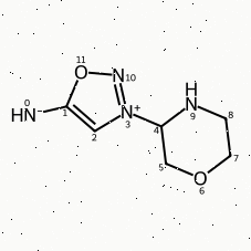 [NH-]c1c[n+](C2COCCN2)no1